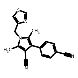 Cc1c(C#N)c(-c2ccc(C#N)cc2)c(C)n1Cc1cscn1